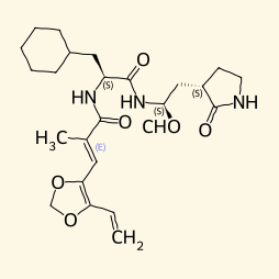 C=CC1=C(/C=C(\C)C(=O)N[C@@H](CC2CCCCC2)C(=O)N[C@H](C=O)C[C@@H]2CCNC2=O)OCO1